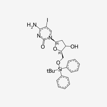 CC(C)(C)[Si](OC[C@H]1O[C@@H](n2cc(I)c(N)nc2=O)CC1O)(c1ccccc1)c1ccccc1